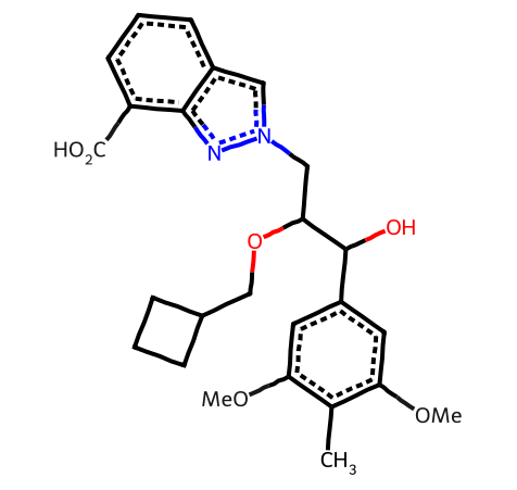 COc1cc(C(O)C(Cn2cc3cccc(C(=O)O)c3n2)OCC2CCC2)cc(OC)c1C